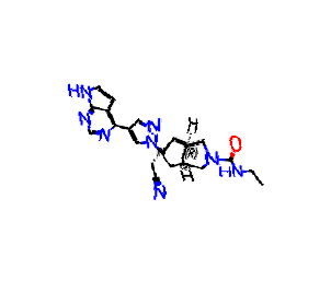 CCNC(=O)N1C[C@@H]2C[C@](CC#N)(n3cc(-c4ncnc5[nH]ccc45)cn3)C[C@@H]2C1